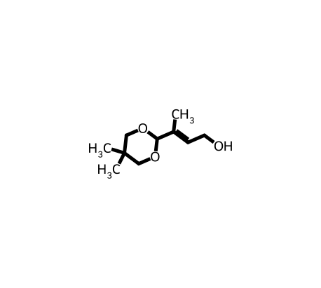 C/C(=C\CO)C1OCC(C)(C)CO1